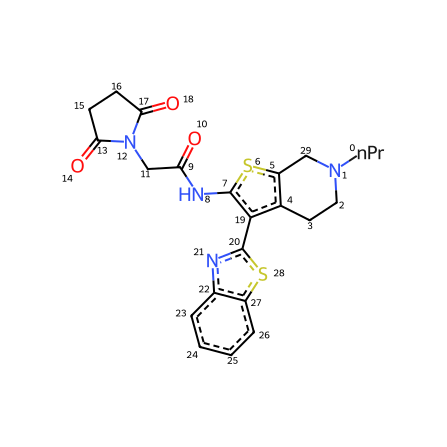 CCCN1CCc2c(sc(NC(=O)CN3C(=O)CCC3=O)c2-c2nc3ccccc3s2)C1